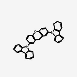 C1=Cc2c(n(-c3ccc4c(c3)Cc3cc(-n5c6ccccc6c6ccccc65)ccc3O4)c3ccccc23)CC1